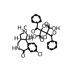 CN1C[C@@H]2CNC(=O)c3cc(Cl)ccc3[C@H]2C1.O=C(O)C(O)(C(=O)c1ccccc1)C(O)(C(=O)O)C(=O)c1ccccc1